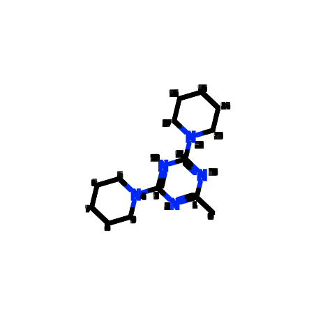 Cc1nc(N2CCCCC2)nc(N2CCCCC2)n1